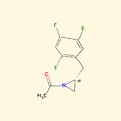 CC(=O)N1C[C@H]1Cc1cc(F)c(F)cc1F